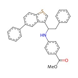 COC(=O)c1ccc(NC(Cc2ccccc2)c2csc3ccc(-c4ccccc4)cc23)cc1